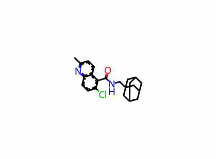 Cc1ccc2c(C(=O)NCC34CC5CC(CC(C5)C3)C4)c(Cl)ccc2n1